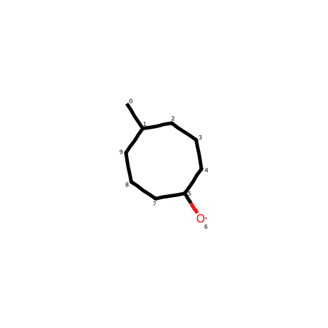 CC1CCCC([O])CCC1